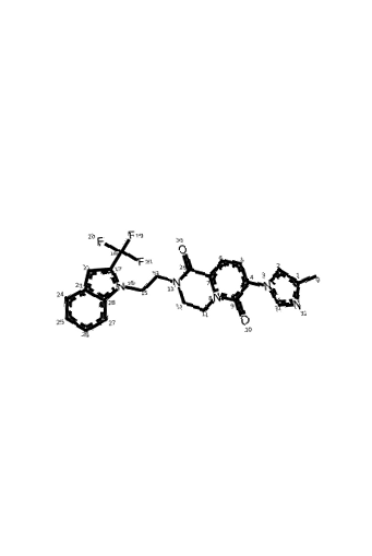 Cc1cn(-c2ccc3n(c2=O)CCN(CCn2c(C(F)(F)F)cc4ccccc42)C3=O)cn1